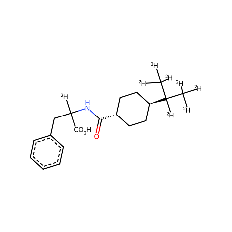 [2H]C(Cc1ccccc1)(NC(=O)[C@H]1CC[C@H](C([2H])(C([2H])([2H])[2H])C([2H])([2H])[2H])CC1)C(=O)O